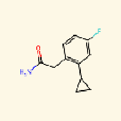 NC(=O)Cc1ccc(F)cc1C1CC1